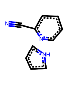 N#Cc1ccccn1.c1cc[nH]c1